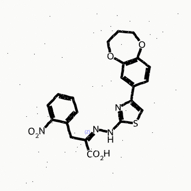 O=C(O)/C(Cc1ccccc1[N+](=O)[O-])=N\Nc1nc(-c2ccc3c(c2)OCCCO3)cs1